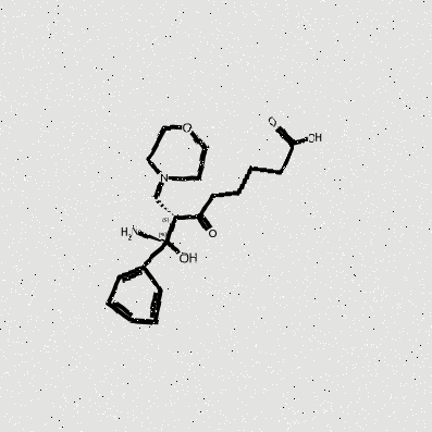 N[C@@](O)(c1ccccc1)[C@H](CN1CCOCC1)C(=O)CCCCC(=O)O